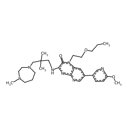 CCCOCCn1c(=O)c(NCC(C)(C)CN2CCCN(C)CC2)nc2ncc(-c3ccc(OC)nc3)cc21